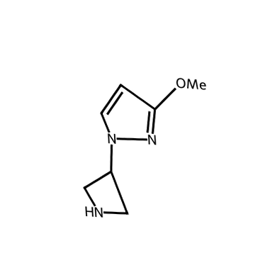 COc1ccn(C2CNC2)n1